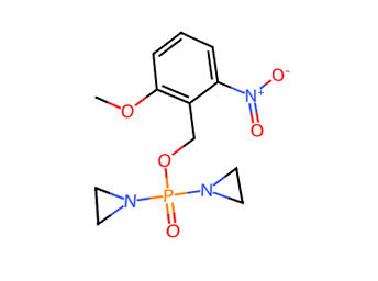 COc1cccc([N+](=O)[O-])c1COP(=O)(N1CC1)N1CC1